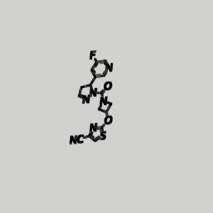 N#Cc1csc(OC2CN(C(=O)N3N=CCC3c3cncc(F)c3)C2)n1